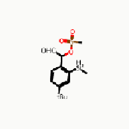 C[SiH2]c1cc(C(C)(C)C)ccc1C(C=O)OS(C)(=O)=O